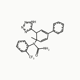 CC1(N(C(N)=O)c2ccccc2C(F)(F)F)C=CC(c2ccccc2)=CC1c1nnn[nH]1